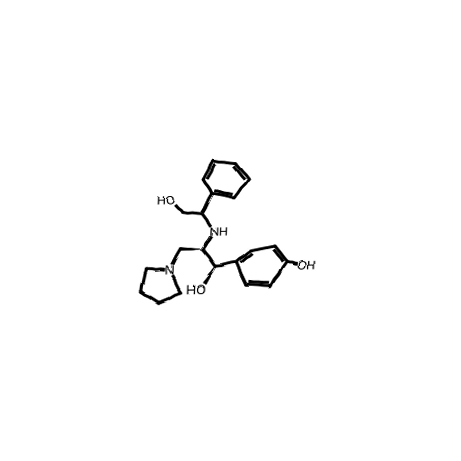 OCC(N[C@H](CN1CCCC1)[C@H](O)c1ccc(O)cc1)c1ccccc1